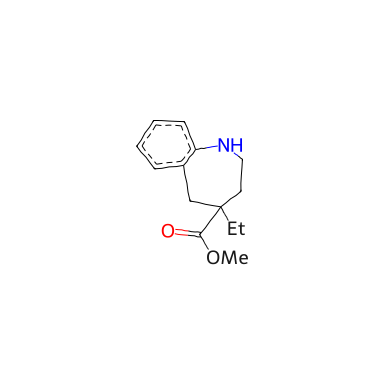 CCC1(C(=O)OC)CCNc2ccccc2C1